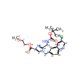 COCCOC(=O)c1cn(Cc2ccc3ncc(Cl)cc3c2)c(CNC(=O)OC(C)(C)C)n1